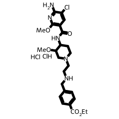 CCOC(=O)c1ccc(CNCCN2CCC(NC(=O)c3cc(Cl)c(N)nc3OC)C(OC)C2)cc1.Cl.Cl